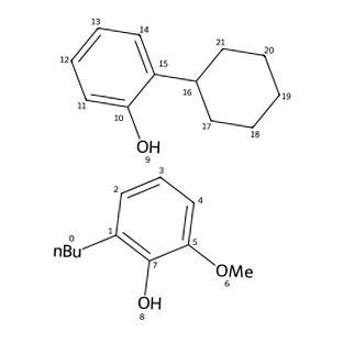 CCCCc1cccc(OC)c1O.Oc1ccccc1C1CCCCC1